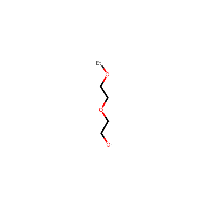 CCOCCO[CH]C[O]